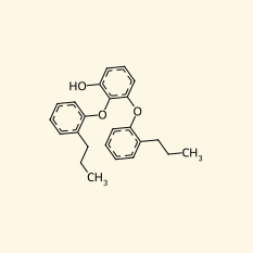 CCCc1ccccc1Oc1cccc(O)c1Oc1ccccc1CCC